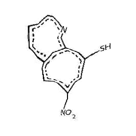 O=[N+]([O-])c1cc(S)c2ncccc2c1